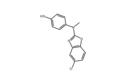 CN(c1ccc(O)cc1)c1nc2cc(Cl)ccc2o1